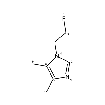 Cc1ncn(CCF)c1C